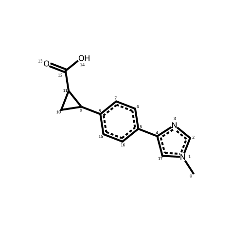 Cn1cnc(-c2ccc(C3CC3C(=O)O)cc2)c1